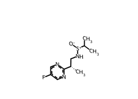 CC(C)[S+]([O-])NC[C@H](C)c1ncc(F)cn1